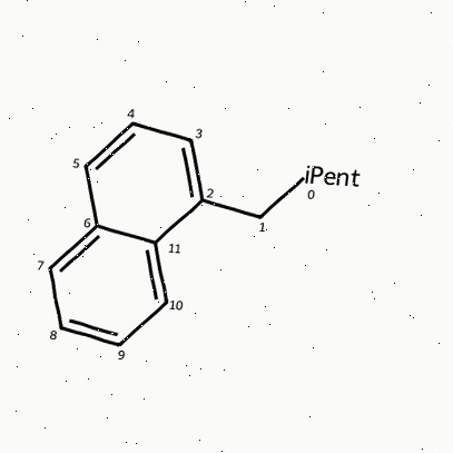 CCCC(C)Cc1cccc2ccccc12